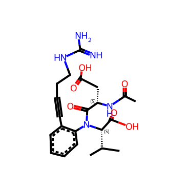 CC(=O)N[C@@H](CC(=O)O)C(=O)N(c1ccccc1C#CCCNC(=N)N)[C@H](C(=O)O)C(C)C